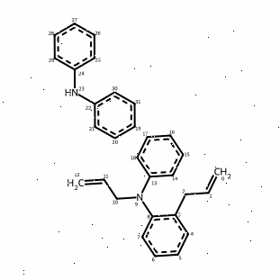 C=CCc1ccccc1N(CC=C)c1ccccc1.c1ccc(Nc2ccccc2)cc1